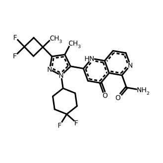 Cc1c(C2(C)CC(F)(F)C2)nn(C2CCC(F)(F)CC2)c1-c1cc(=O)c2c(C(N)=O)nccc2[nH]1